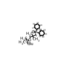 CC(C)(CO[Si](C)(C)C(C)(C)C)CP(=O)(c1ccccc1)c1ccccc1